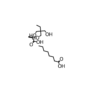 C=CC(=O)O.CCC(CO)(CO)CO.CCCCCCCC(=O)O